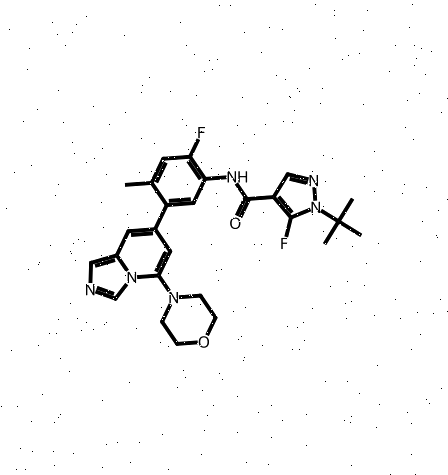 Cc1cc(F)c(NC(=O)c2cnn(C(C)(C)C)c2F)cc1-c1cc(N2CCOCC2)n2cncc2c1